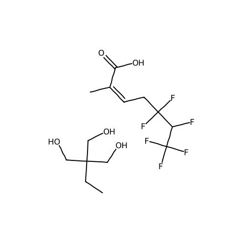 CC(=CCC(F)(F)C(F)C(F)(F)F)C(=O)O.CCC(CO)(CO)CO